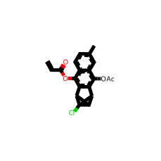 C=CC(=O)Oc1c2c(c(OC(C)=O)c3cc(C)ccc13)C1C=C(Cl)C2C1